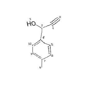 C#CC(O)c1ccc(C)cc1